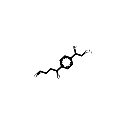 CCC(Br)c1ccc(C(Cl)CCC=O)cc1